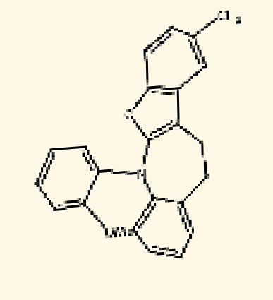 COc1ccccc1N1c2ccccc2CCc2c1oc1ccc(C)cc21